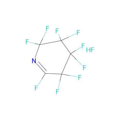 F.FC1=NC(F)(F)C(F)(F)C(F)(F)C1(F)F